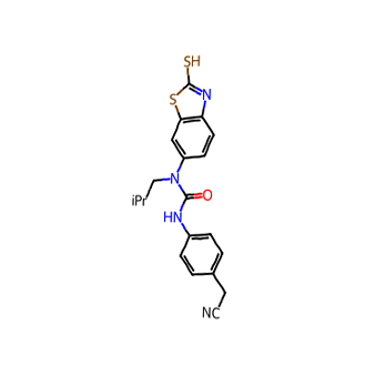 CC(C)CN(C(=O)Nc1ccc(CC#N)cc1)c1ccc2nc(S)sc2c1